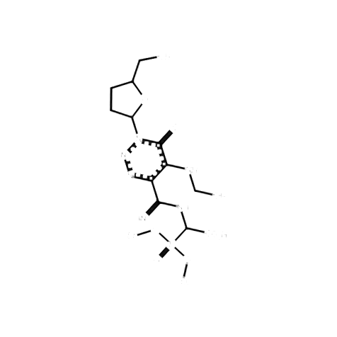 CCOP(=O)(OCC)C(NC(=N)c1nnn(C2CCC(CO)O2)c(=O)c1NCO)C(=O)O